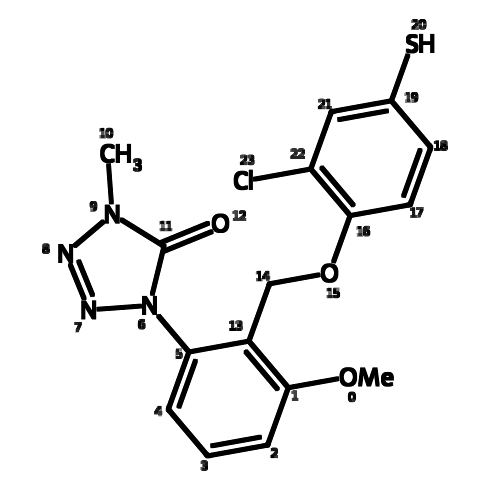 COc1cccc(-n2nnn(C)c2=O)c1COc1ccc(S)cc1Cl